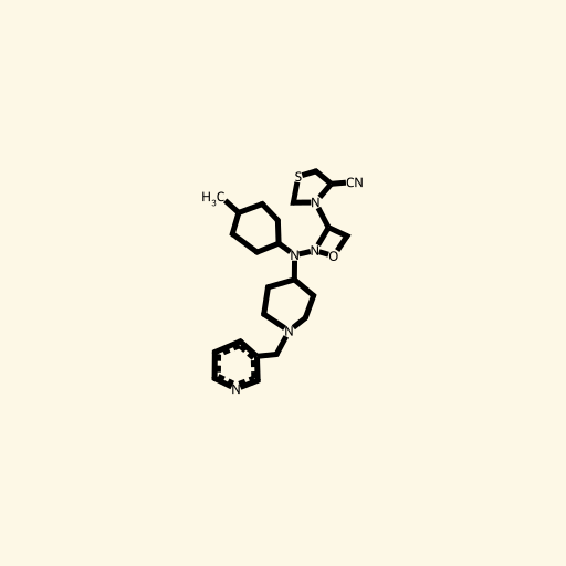 CC1CCC(N(C2CCN(Cc3cccnc3)CC2)N2OCC2N2CSCC2C#N)CC1